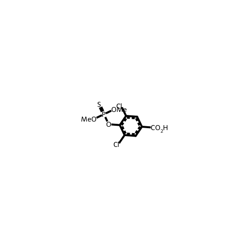 COP(=S)(OC)Oc1c(Cl)cc(C(=O)O)cc1Cl